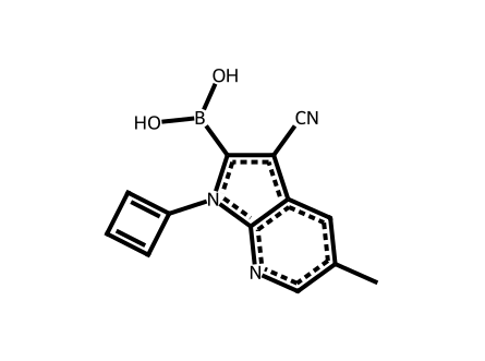 Cc1cnc2c(c1)c(C#N)c(B(O)O)n2C1=CC=C1